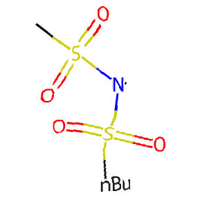 CCCCS(=O)(=O)[N]S(C)(=O)=O